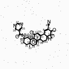 CC1(C)C(=O)C(C#N)=C[C@]2(C)C3=CC(=O)[C@]4(O)[C@@H]5C[C@@](C)(NC(=O)c6cncnc6)CC[C@@]5(C)CC[C@@]4(C)[C@]3(C)CC[C@@H]12